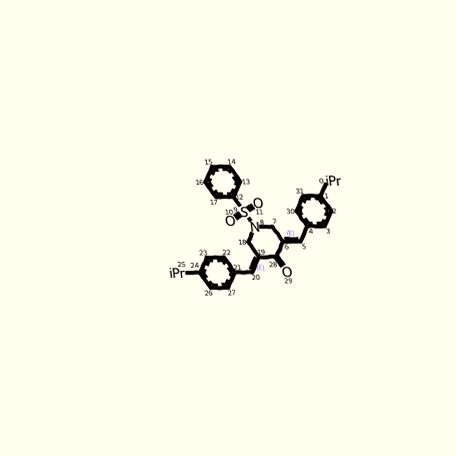 CC(C)c1ccc(/C=C2\CN(S(=O)(=O)c3ccccc3)C/C(=C\c3ccc(C(C)C)cc3)C2=O)cc1